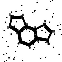 C1=NC=c2ccc3c(c21)N=CN=3